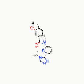 CC(C)n1cnnc1-c1cccc(N2Cc3cc4c(cc3C2=O)OC(C)(C)C4)n1